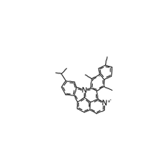 Cc1ccc2c(C)c3c(c(C)c2c1)n1c2cc(C(C)C)ccc2c2ccc4cc[n+](C)c3c4c21